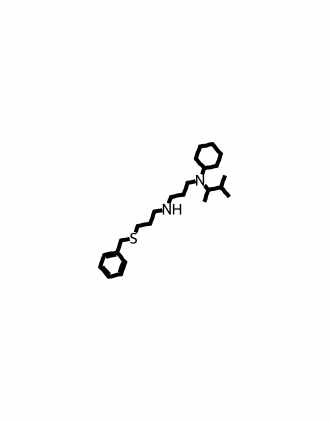 CC(C)C(C)N(CCCNCCCSCc1ccccc1)C1CCCCC1